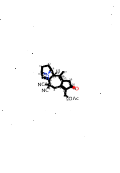 CC(=O)OCC1=C2CC(C#N)(C#N)C3=CC4CCC(N4)[C@@H]3C(C)=C2CC1=O